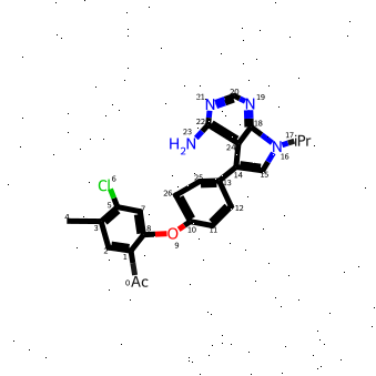 CC(=O)c1cc(C)c(Cl)cc1Oc1ccc(-c2cn(C(C)C)c3ncnc(N)c23)cc1